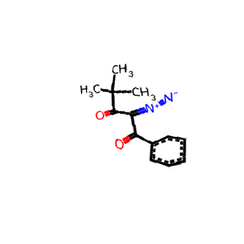 CC(C)(C)C(=O)C(=[N+]=[N-])C(=O)c1ccccc1